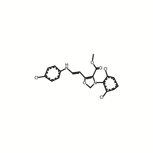 COC(=O)C1=C(C=CNc2ccc(Cl)cc2)OCN1c1c(Cl)cccc1Cl